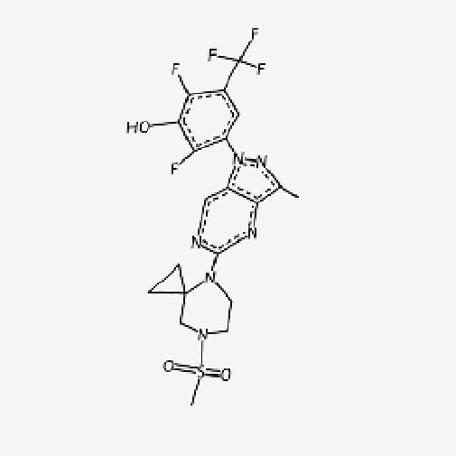 Cc1nn(-c2cc(C(F)(F)F)c(F)c(O)c2F)c2cnc(N3CCN(S(C)(=O)=O)CC34CC4)nc12